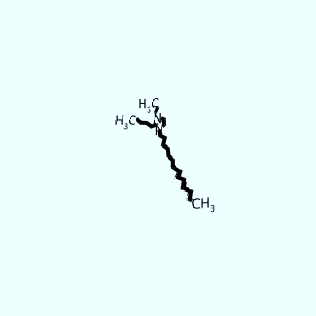 CCCCCCCCCCCCCCN1C=CN(CCC)C1CCCCC